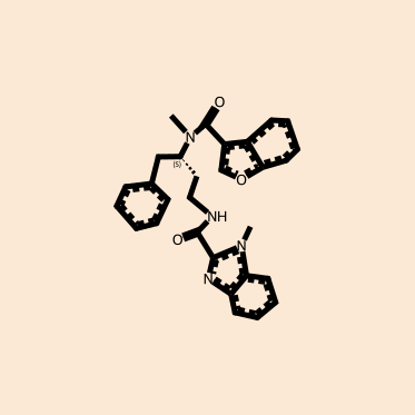 CN(C(=O)c1coc2ccccc12)[C@H](CCNC(=O)c1nc2ccccc2n1C)Cc1ccccc1